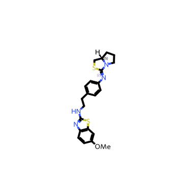 COc1ccc2nc(NCCc3ccc(/N=C4\SC[C@@H]5CCCN45)cc3)sc2c1